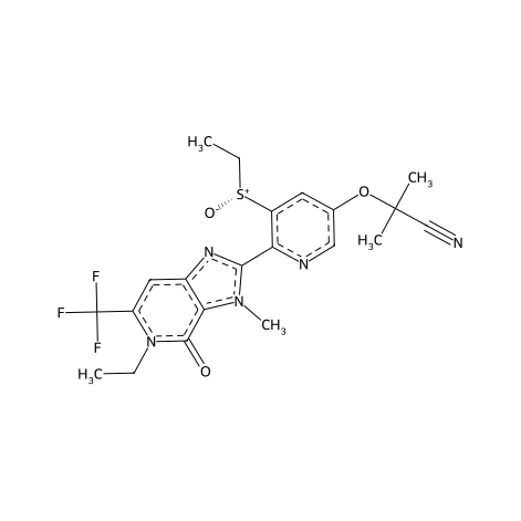 CCn1c(C(F)(F)F)cc2nc(-c3ncc(OC(C)(C)C#N)cc3[S@+]([O-])CC)n(C)c2c1=O